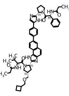 CCC(=O)N[C@H](C(=O)N1C[C@@H](COCC2CCC2)C[C@H]1c1nc2ccc3cc(-c4ccc(-c5cnc([C@@H]6CCCN6C(=O)[C@H](NC(=O)CC)c6ccccc6)[nH]5)cc4)ccc3c2[nH]1)C(C)C